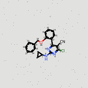 N#Cc1c(Cl)nc(NC2CC2)nc1-c1ccccc1OCc1ccccc1